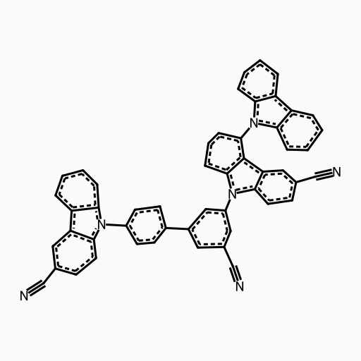 N#Cc1cc(-c2ccc(-n3c4ccccc4c4cc(C#N)ccc43)cc2)cc(-n2c3ccc(C#N)cc3c3c(-n4c5ccccc5c5ccccc54)cccc32)c1